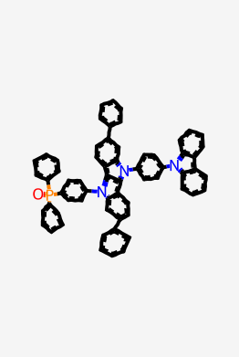 O=P(c1ccccc1)(c1ccccc1)c1ccc(-n2c3cc(-c4ccccc4)ccc3c3c2c2ccc(-c4ccccc4)cc2n3-c2ccc(-n3c4ccccc4c4ccccc43)cc2)cc1